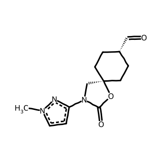 Cn1ccc(N2C[C@]3(CC[C@@H](C=O)CC3)OC2=O)n1